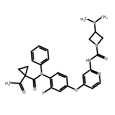 CN(C)C1CN(C(=O)Nc2cc(Oc3ccc(N(C(=O)C4(C(N)=O)CC4)c4ccccc4)c(F)c3)ccn2)C1